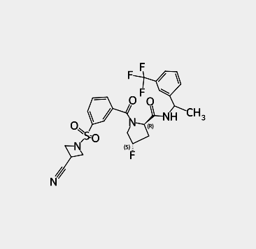 CC(NC(=O)[C@H]1C[C@H](F)CN1C(=O)c1cccc(S(=O)(=O)N2CC(C#N)C2)c1)c1cccc(C(F)(F)F)c1